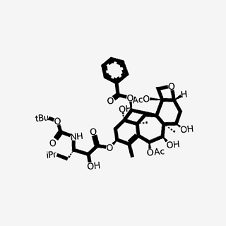 CC(=O)O[C@H]1C2=C(C)[C@@H](OC(=O)C(O)[C@H](CC(C)C)NC(=O)OC(C)(C)C)C[C@@]3(O)[C@@H](OC(=O)c4ccccc4)C4(C[C@@]23C)[C@@](C)([C@@H](O)C[C@H]2OC[C@]24OC(C)=O)[C@H]1O